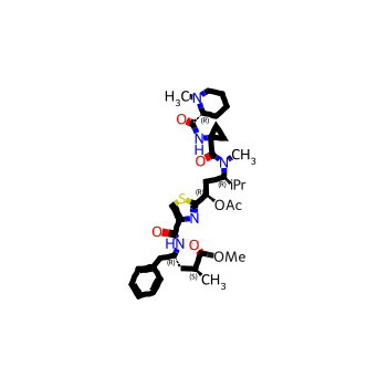 COC(=O)[C@@H](C)C[C@H](Cc1ccccc1)NC(=O)c1csc([C@@H](C[C@H](C(C)C)N(C)C(=O)C2(NC(=O)[C@H]3CCCCN3C)CC2)OC(C)=O)n1